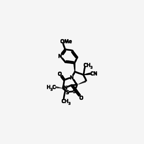 COc1ccc([C@@H]2N3C(=O)[C@]4(C)SS[C@@]3(C[C@]2(C)C#N)C(=O)N4C)cn1